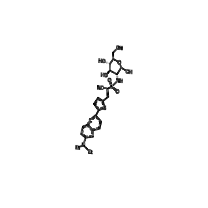 CCN(CC)c1ccc2cc(-c3ccc(/C=C(\C#N)S(=O)(=O)N[C@H]4C(O)O[C@H](CO)[C@@H](O)[C@@H]4O)s3)ccc2c1